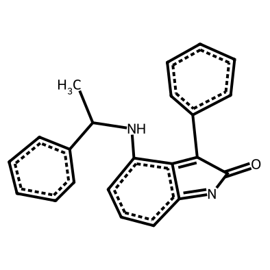 CC(Nc1cccc2c1=C(c1ccccc1)C(=O)N=2)c1ccccc1